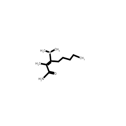 CCCCC/C(=C(/C)C(N)=O)N(C)C